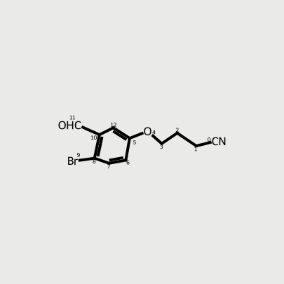 N#CCCCOc1ccc(Br)c(C=O)c1